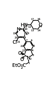 CCOC(=O)CN1Cc2ccc(-c3nc(NC4CCOCC4)ncc3Cl)cc2S1(=O)=O